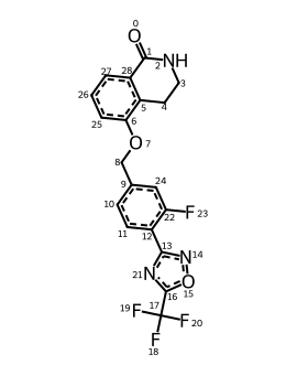 O=C1NCCc2c(OCc3ccc(-c4noc(C(F)(F)F)n4)c(F)c3)cccc21